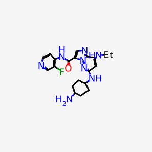 CCNc1cc(NC2CCC(N)CC2)nn2c(C(=O)Nc3ccncc3F)cnc12